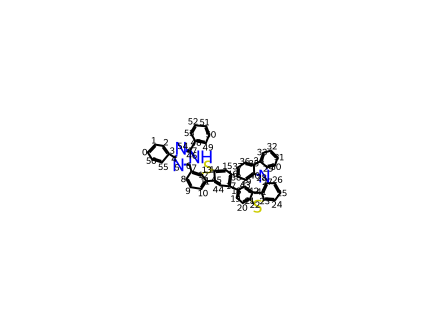 c1ccc(C2=NC(c3cccc4c3sc3ccc(-c5ccc6sc7cccc(-n8c9ccccc9c9ccccc98)c7c6c5)cc34)NC(c3ccccc3)=N2)cc1